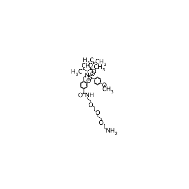 COc1ccc(S(=O)(=O)N(Cc2ccc(C(=O)NCCOCCOCCOCCN)cc2)C(C(=O)OC(C)(C)C)C(C)C)cc1